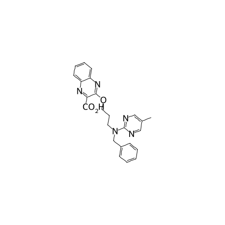 Cc1cnc(N(CCCOc2nc3ccccc3nc2C(=O)O)Cc2ccccc2)nc1